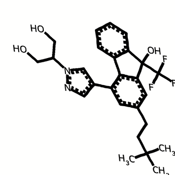 CC(C)(C)CCc1cc(-c2cnn(C(CO)CO)c2)c2c(c1)C(O)(C(F)(F)F)c1ccccc1-2